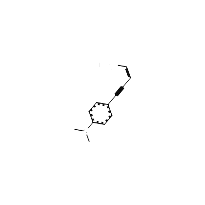 CCOC(=O)/C=C\C#Cc1ccc(N(C)C)cc1